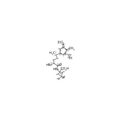 CCCCC(CC[C@H](C)c1cc(OCC)c(C)c(OCC)c1)C(=O)NC1(C(=O)O)CC(F)(F)C1